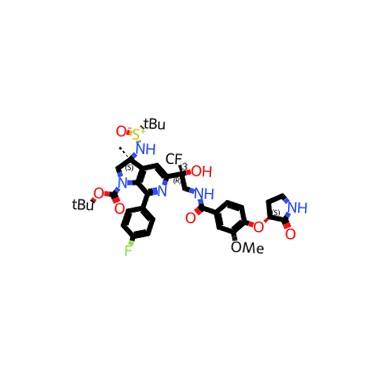 COc1cc(C(=O)NC[C@@](O)(c2cc3c(c(-c4ccc(F)cc4)n2)N(C(=O)OC(C)(C)C)C[C@@]3(C)N[S+]([O-])C(C)(C)C)C(F)(F)F)ccc1O[C@H]1CCNC1=O